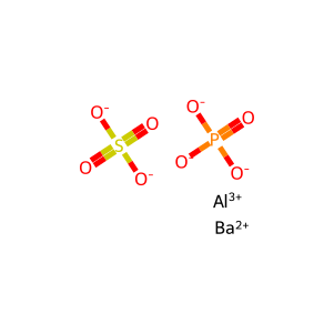 O=P([O-])([O-])[O-].O=S(=O)([O-])[O-].[Al+3].[Ba+2]